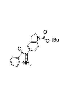 CC(C)(C)OC(=O)N1CCc2cc(NC(=O)c3ccccc3N)ccc21